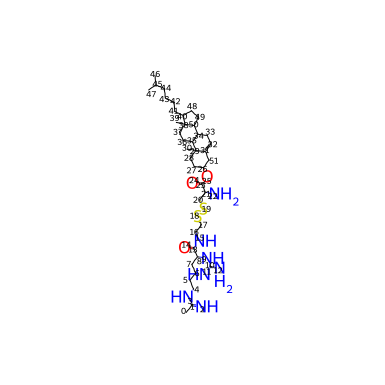 CC(=N)NCCCCC(NC(=N)N)C(=O)NCCSSCC(N)C(=O)OC1CCC2(C)C(=CCC3C2CCC2(C)C(CCCCC(C)C)CCC32)C1